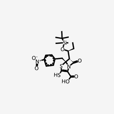 CC[C@H](O[Si](C)(C)C(C)(C)C)[C@@H]1C(=O)N2C(C(=O)O)=C(S)S[C@]12Cc1ccc([N+](=O)[O-])cc1